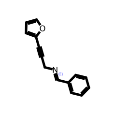 C(#Cc1ccco1)C/N=C/c1ccccc1